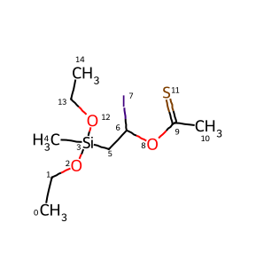 CCO[Si](C)(CC(I)OC(C)=S)OCC